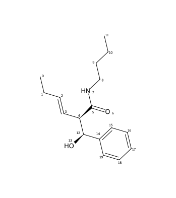 CC/C=C/[C@@H](C(=O)NCCCC)[C@H](O)c1ccccc1